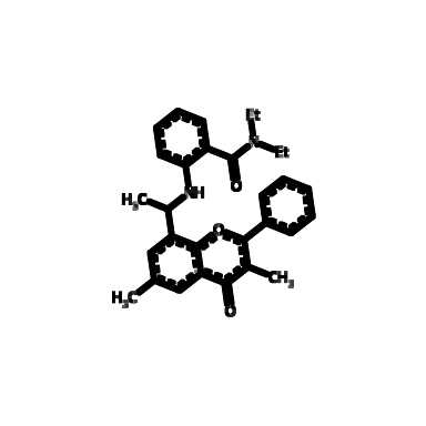 CCN(CC)C(=O)c1ccccc1NC(C)c1cc(C)cc2c(=O)c(C)c(-c3ccccc3)oc12